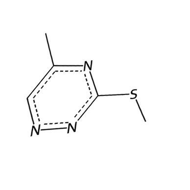 CSc1nncc(C)n1